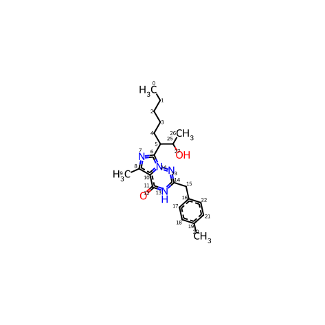 CCCCCC(c1nc(C)c2c(=O)[nH]c(Cc3ccc(C)cc3)nn12)C(C)O